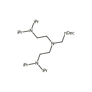 CCCCCCCCCCCN(CCN(C(C)C)C(C)C)CCN(C(C)C)C(C)C